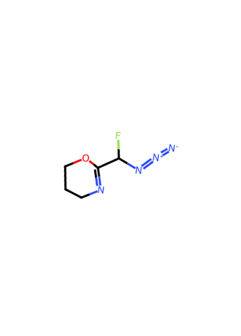 [N-]=[N+]=NC(F)C1=NCCCO1